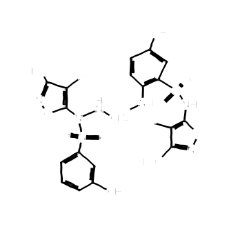 CNN(c1onc(C)c1Br)S(=O)(=O)c1cccc(C)c1.CNc1ccc(C)cc1S(=O)(=O)Nc1onc(C)c1Cl